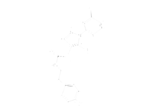 O=C(NCCc1ccc(Cl)cc1)Oc1cnn(-c2cccc(Cl)n2)c1C(F)(F)F